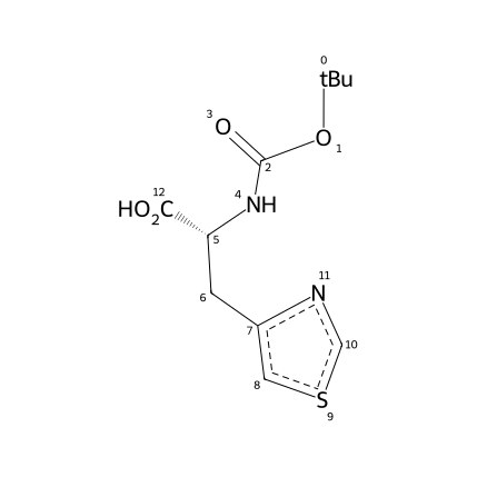 CC(C)(C)OC(=O)N[C@H](Cc1cscn1)C(=O)O